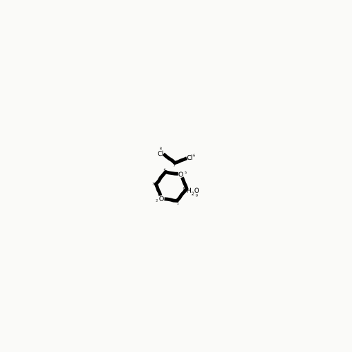 C1COCCO1.ClCCl.O